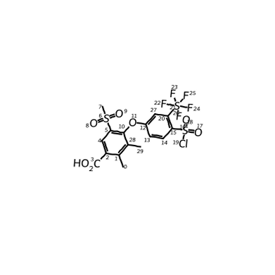 Cc1c(C(=O)O)cc(S(C)(=O)=O)c(Oc2ccc(S(=O)(=O)Cl)c(S(F)(F)(F)(F)F)c2)c1C